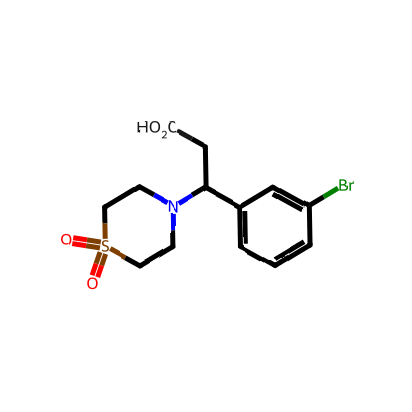 O=C(O)CC(c1cccc(Br)c1)N1CCS(=O)(=O)CC1